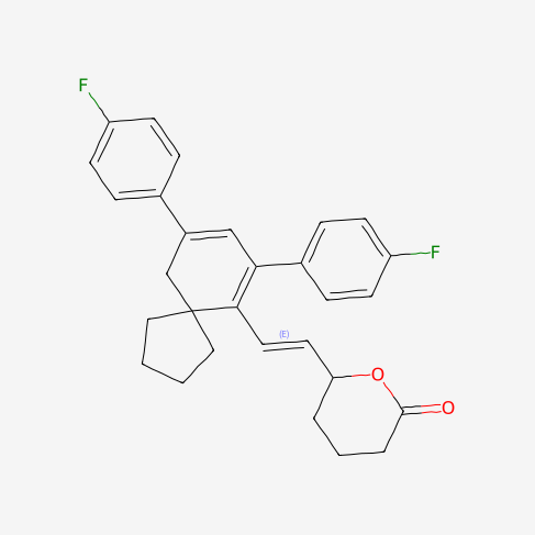 O=C1CCCC(/C=C/C2=C(c3ccc(F)cc3)C=C(c3ccc(F)cc3)CC23CCCC3)O1